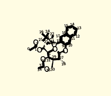 CC(=O)OC[C@H]1O[C@@H](Oc2cc3ccccc3cc2O[Si](C)(C)C(C)(C)C)[C@H](C)[C@@H](C)[C@H]1OC(C)=O